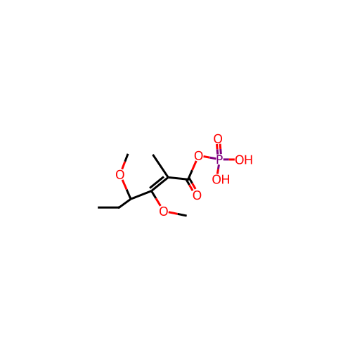 CCC(OC)C(OC)=C(C)C(=O)OP(=O)(O)O